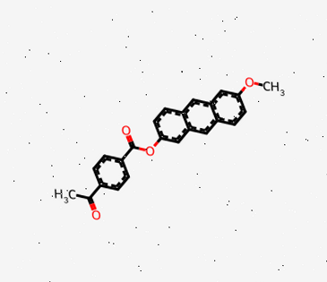 COc1ccc2cc3cc(OC(=O)c4ccc(C(C)=O)cc4)ccc3cc2c1